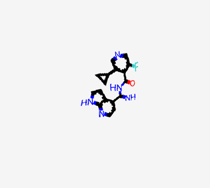 N=C(NC(=O)c1c(F)cncc1C1CC1)c1ccnc2[nH]ccc12